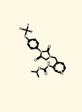 CC(C)OC(=O)Nc1cnccc1CN1CC(=O)N(c2ccc(SC(F)(F)F)cc2)C1=O